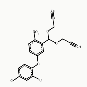 C#CCOC(OCC#C)c1cc(Oc2ccc(Cl)cc2Cl)ccc1[N+](=O)[O-]